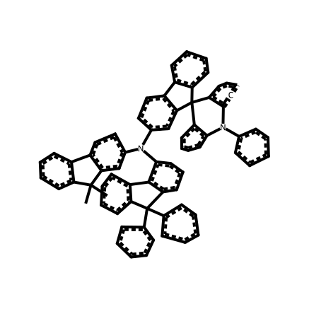 CC1(C)c2ccccc2-c2ccc(N(c3ccc4c(c3)C3(c5ccccc5-4)c4ccccc4N(c4ccccc4)c4ccccc43)c3cccc4c3-c3ccccc3C4(c3ccccc3)c3ccccc3)cc21